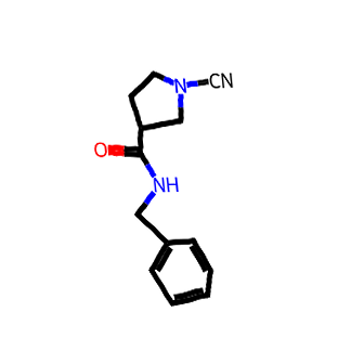 N#CN1CCC(C(=O)NCc2ccccc2)C1